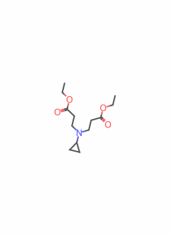 CCOC(=O)CCN(CCC(=O)OCC)C1CC1